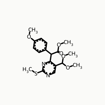 COC(=O)C(c1ccc(OC)cc1)c1nc(SC)ncc1C(OC)OC